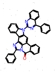 O=c1c2ccccc2c2cc3c(c4ccccc4n3-c3nc(-c4ccccc4)c4ccccc4n3)c3nc(-c4ccccc4)n1c23